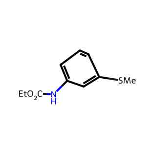 CCOC(=O)Nc1cccc(SC)c1